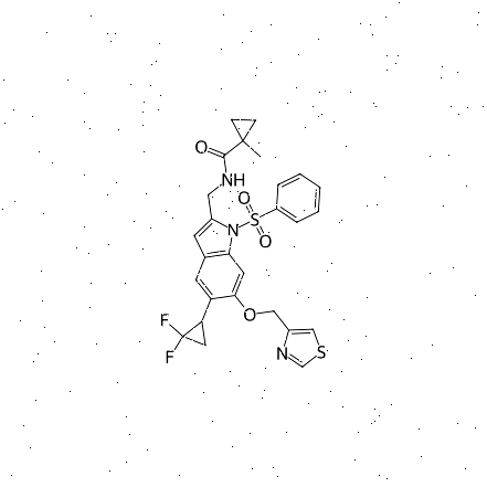 CC1(C(=O)NCc2cc3cc(C4CC4(F)F)c(OCc4cscn4)cc3n2S(=O)(=O)c2ccccc2)CC1